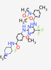 COc1cc(C(=O)N[C@@H]2CCN(C)C[C@H]2F)ccc1Nc1ncc(C(F)(F)F)c(NCc2ccc(C)cc2N(C)S(C)(=O)=O)n1